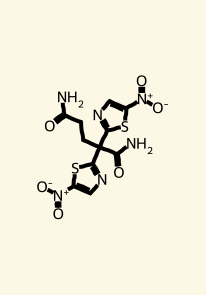 NC(=O)CCC(C(N)=O)(c1ncc([N+](=O)[O-])s1)c1ncc([N+](=O)[O-])s1